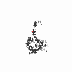 COC1CC(OCC23CC(COCCOC4CN(C(C)(C)CC(C)(C)OC(C)(C)C#Cc5cc(N6CCC(OC7CC(OC(C)(C)C)C7)CC6)c(C#N)cn5)C4)(C2)C3)C1